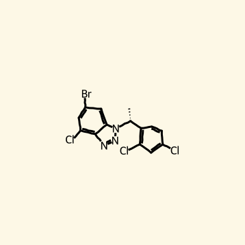 C[C@H](c1ccc(Cl)cc1Cl)n1nnc2c(Cl)cc(Br)cc21